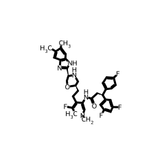 C=N/C=C(NC(=O)C[C@@H](c1ccc(F)cc1)c1cc(F)cc(F)c1)\C(CC[C@@H]1CN[C@H](c2nc3cc(C)c(C)cc3[nH]2)CO1)=C(/C)F